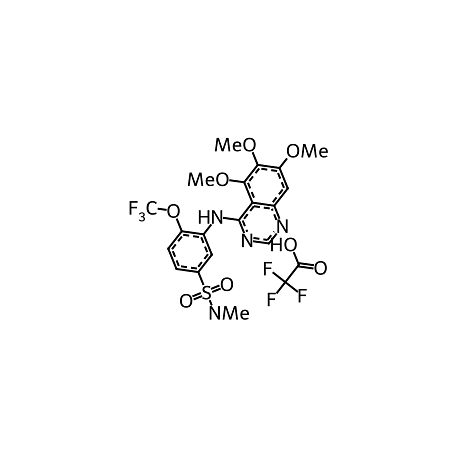 CNS(=O)(=O)c1ccc(OC(F)(F)F)c(Nc2ncnc3cc(OC)c(OC)c(OC)c23)c1.O=C(O)C(F)(F)F